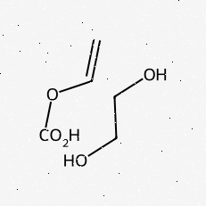 C=COC(=O)O.OCCO